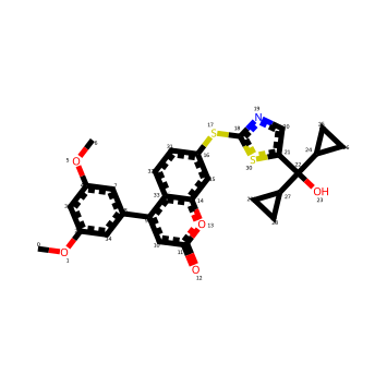 COc1cc(OC)cc(-c2cc(=O)oc3cc(Sc4ncc(C(O)(C5CC5)C5CC5)s4)ccc23)c1